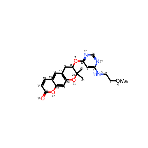 COCCNc1cc(OC2Cc3cc4ccc(=O)oc4cc3OC2(C)C)ncn1